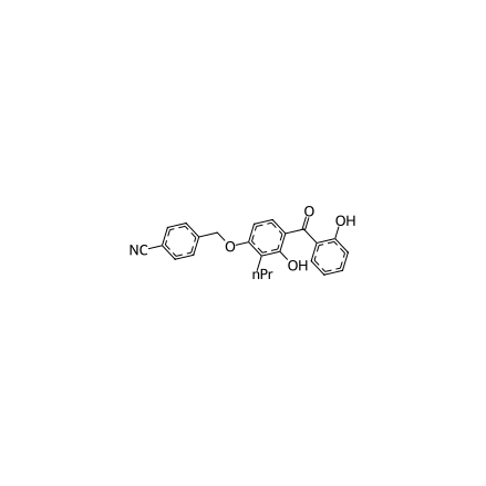 CCCc1c(OCc2ccc(C#N)cc2)ccc(C(=O)c2ccccc2O)c1O